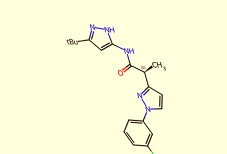 C[C@H](C(=O)Nc1cc(C(C)(C)C)n[nH]1)c1ccn(-c2cccc(Cl)c2)n1